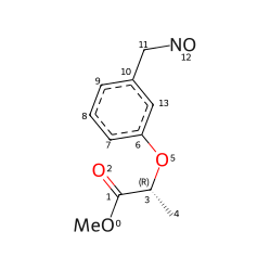 COC(=O)[C@@H](C)Oc1cccc(CN=O)c1